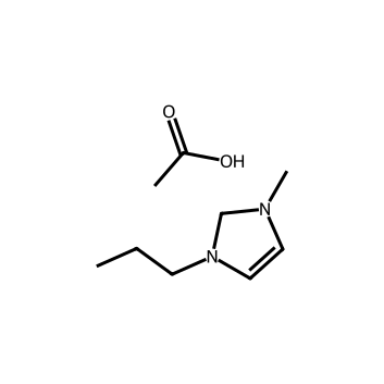 CC(=O)O.CCCN1C=CN(C)C1